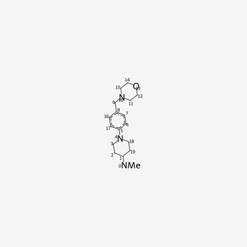 CNC1CCN(c2ccc(CN3CCOCC3)cc2)CC1